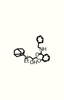 CCN(CC(O)COc1ccccc1C(=O)NCc1ccccc1)C1C2CC3CC(C2)CC1C3